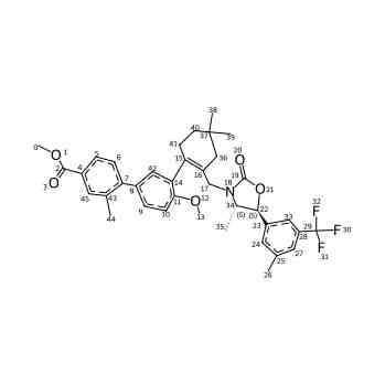 COC(=O)c1ccc(-c2ccc(OC)c(C3=C(CN4C(=O)O[C@@H](c5cc(C)cc(C(F)(F)F)c5)[C@@H]4C)CC(C)(C)CC3)c2)c(C)c1